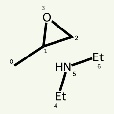 CC1CO1.CCNCC